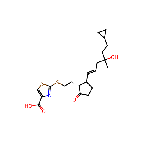 CC(O)(C/C=C/[C@H]1CCC(=O)[C@@H]1CCSc1nc(C(=O)O)cs1)CCC1CC1